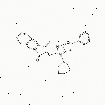 O=C1C(=Cc2nc3oc(-c4ccccc4)cc3n2C2CCCCC2)C(=O)c2cc3ccccc3cc21